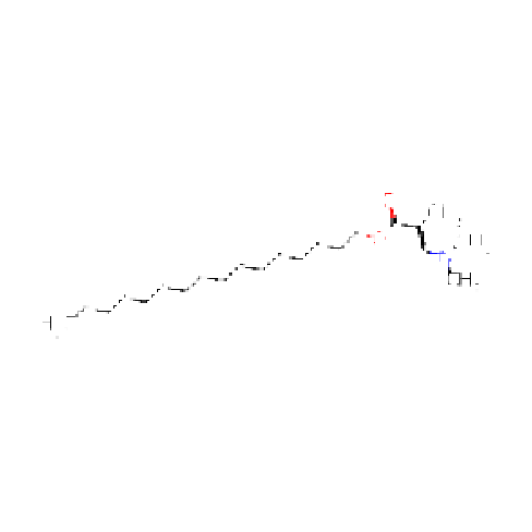 CCCCCCCCCCCCCCCCOC(=O)C(C)=CN(C)C